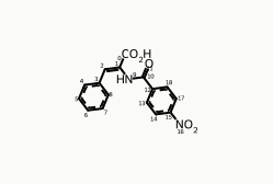 O=C(O)C(=Cc1ccccc1)NC(=O)c1ccc([N+](=O)[O-])cc1